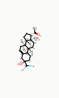 CCC(=O)[C@H]1CC[C@H]2[C@@H]3CC=C4C[C@@](O)(C(F)F)CC[C@@H]4[C@H]3CC[C@]12C